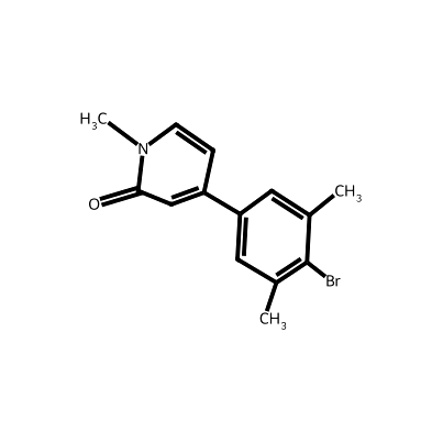 Cc1cc(-c2ccn(C)c(=O)c2)cc(C)c1Br